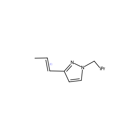 C/C=C/c1ccn(CC(C)C)n1